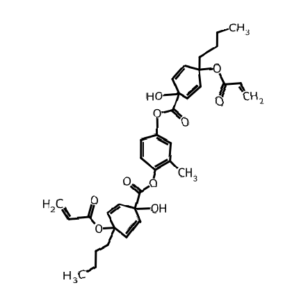 C=CC(=O)OC1(CCCC)C=CC(O)(C(=O)Oc2ccc(OC(=O)C3(O)C=CC(CCCC)(OC(=O)C=C)C=C3)c(C)c2)C=C1